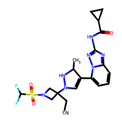 CC1NN(C2(CC#N)CN(S(=O)(=O)C(F)F)C2)C=C1c1cccc2nc(NC(=O)C3CC3)nn12